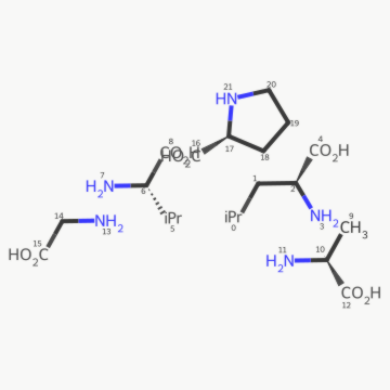 CC(C)C[C@H](N)C(=O)O.CC(C)[C@H](N)C(=O)O.C[C@H](N)C(=O)O.NCC(=O)O.O=C(O)[C@@H]1CCCN1